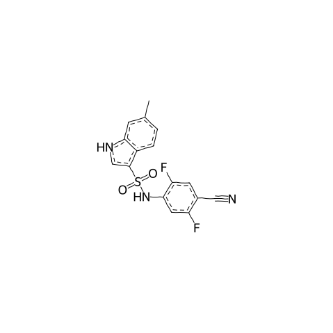 Cc1ccc2c(S(=O)(=O)Nc3cc(F)c(C#N)cc3F)c[nH]c2c1